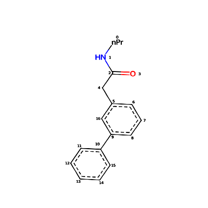 CCCNC(=O)Cc1cccc(-c2ccccc2)c1